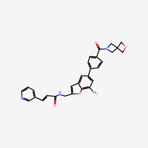 O=C(/C=C/c1cccnc1)NCc1cc2cc(-c3ccc(C(=O)N4CC5(COC5)C4)cc3)cc(C(F)(F)F)c2o1